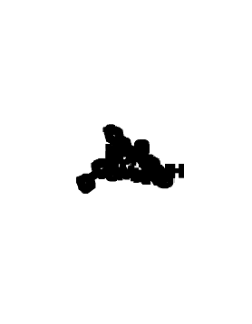 COc1cc(-c2ccccc2)ccc1/N=N/c1c(O)c(C(=O)Nc2ccc3[nH]c(=O)[nH]c3c2)cc2ccccc12